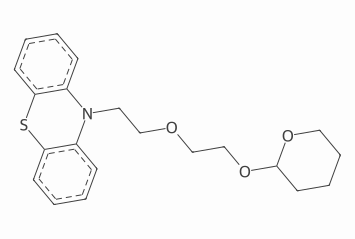 c1ccc2c(c1)Sc1ccccc1N2CCOCCOC1CCCCO1